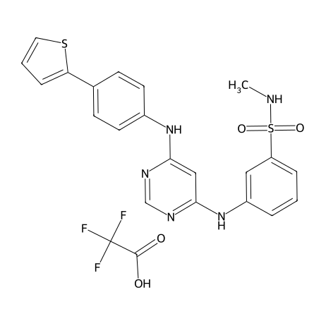 CNS(=O)(=O)c1cccc(Nc2cc(Nc3ccc(-c4cccs4)cc3)ncn2)c1.O=C(O)C(F)(F)F